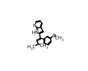 COc1cccc(/C(=C\C(C)C)c2cc3cccnc3[nH]2)c1